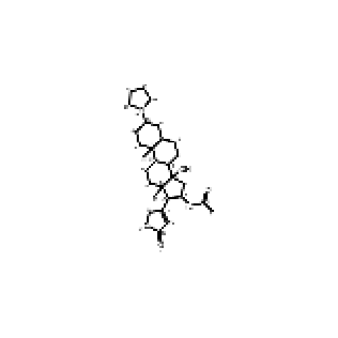 CC(=O)OC1CC2(O)C3CCC4CC(N5CCCC5)CCC4(C)C3CCC2(C)C1C1=CC(=O)OC1